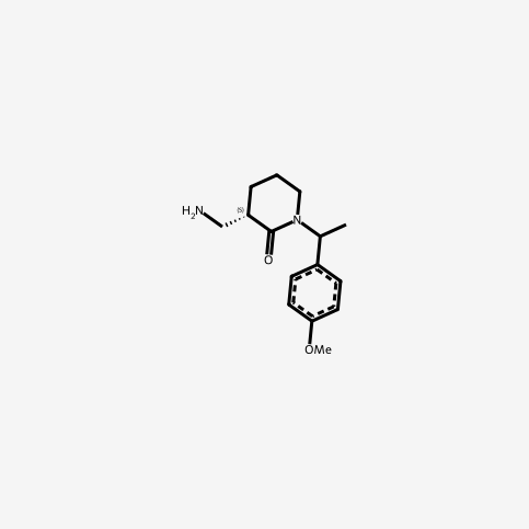 COc1ccc(C(C)N2CCC[C@@H](CN)C2=O)cc1